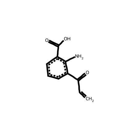 C=CC(=O)c1cccc(C(=O)O)c1N